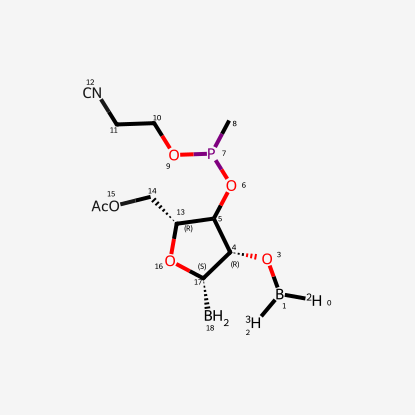 [2H]B([3H])O[C@H]1C(OP(C)OCC[N+]#[C-])[C@@H](COC(C)=O)O[C@H]1B